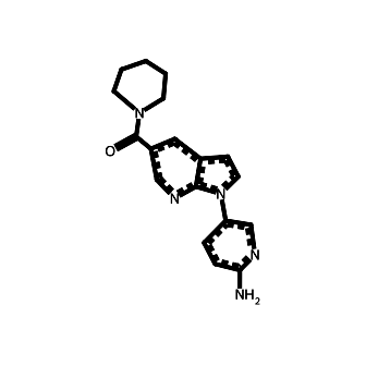 Nc1ccc(-n2ccc3cc(C(=O)N4CCCCC4)cnc32)cn1